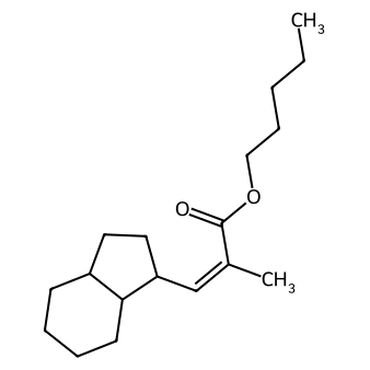 CCCCCOC(=O)C(C)=CC1CCC2CCCCC12